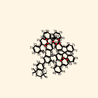 CC1(C)CCC(C)(C)c2cc(-c3cc4c5c(c3)N(c3ccccc3-c3ccccc3)c3cc6c(cc3B5c3cc5c(cc3N4c3ccccc3-c3ccccc3)-c3ccccc3C53c4ccccc4-c4ccccc43)C3(c4ccccc4-c4ccccc43)c3ccccc3-6)ccc21